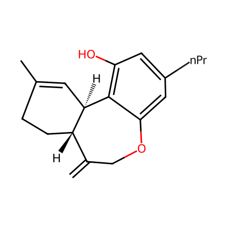 C=C1COc2cc(CCC)cc(O)c2[C@@H]2C=C(C)CC[C@@H]12